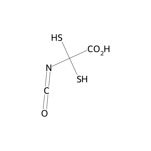 O=C=NC(S)(S)C(=O)O